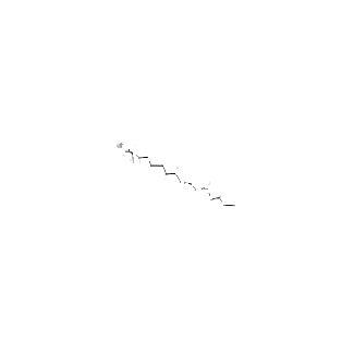 CCCCCCCCCCCC[CH2][Sn][CH2]SC